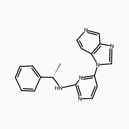 C[C@H](Nc1nccc(-n2cnc3cnccc32)n1)c1ccccc1